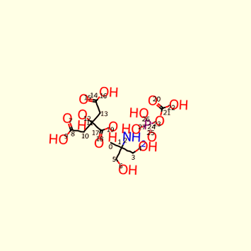 CC(N)(CO)CO.O=C(O)CC(O)(CC(=O)O)C(=O)O.O=C(O)OP(=O)(O)O